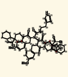 CCC(=O)C1(C2CCCCC2)CCN(C(=O)C(Cc2ccc(OC)cc2)N(C(=O)NCCc2c[nH]cn2)N(C(=O)NCc2c[nH]cn2)C(Cc2ccc(OC)cc2)C(=O)N2CCC(C(=O)CC)(C3CCCCC3)CC2)CC1